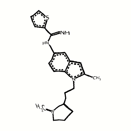 Cc1cc2cc(NC(=N)c3cccs3)ccc2n1CCC1CCCN1C